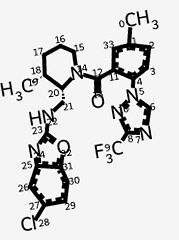 Cc1ccc(-n2cnc(C(F)(F)F)n2)c(C(=O)N2CCC[C@@H](C)[C@H]2CNc2nc3cc(Cl)ccc3o2)c1